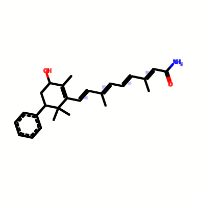 CC1=C(/C=C/C(C)=C/C=C/C(C)=C/C(N)=O)C(C)(C)C(c2ccccc2)CC1O